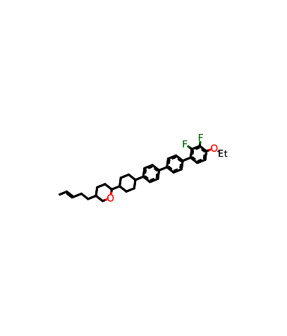 C/C=C/CCC1CCC(C2CCC(c3ccc(-c4ccc(-c5ccc(OCC)c(F)c5F)cc4)cc3)CC2)OC1